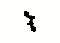 O=C(OCCc1ccc(N2C(=O)c3ccccc3C2=O)cc1)c1cc(/N=N/c2ccc(O)c(C(=O)OCCc3ccc(N4C(=O)c5ccccc5C4=O)cc3)c2)ccc1O